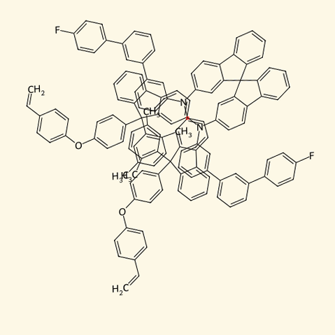 C=Cc1ccc(Oc2ccc(C3(c4cc(C)ccc4C)c4ccccc4-c4ccc(N(c5cccc(-c6cccc(-c7ccc(F)cc7)c6)c5)c5ccc6c(c5)C5(c7ccccc7-6)c6ccccc6-c6ccc(N(c7cccc(-c8cccc(-c9ccc(F)cc9)c8)c7)c7ccc8c(c7)C(c7ccc(Oc9ccc(C=C)cc9)cc7)(c7cc(C)ccc7C)c7ccccc7-8)cc65)cc43)cc2)cc1